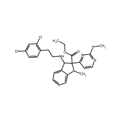 CCOC(=O)C1(c2ccnc(OC)n2)C(NCCc2ccc(Cl)cc2Cl)c2ccccc2N1C